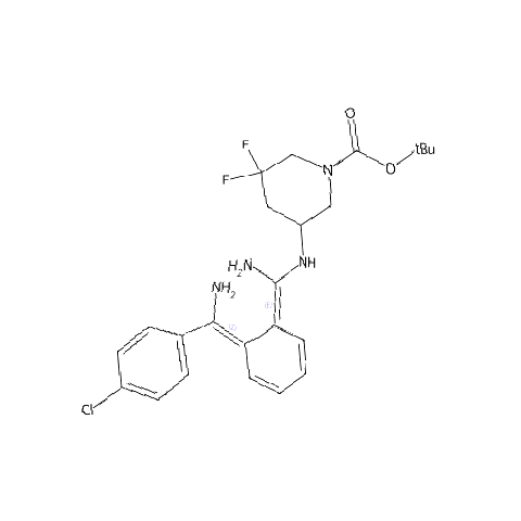 CC(C)(C)OC(=O)N1CC(N/C(N)=c2\cccc\c2=C(\N)c2ccc(Cl)cc2)CC(F)(F)C1